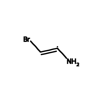 N[C]=CBr